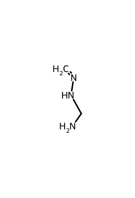 C=NNCN